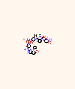 CN(C1CCN(Cc2cccc3c2n(C)c(=O)n3C2CCC(=O)NC2=O)CC1)S(=O)(=O)N1CCC(Nc2ncc3ccc(=O)n(C4CCCC4)c3n2)CC1